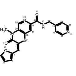 CN1C(=O)/C(=C\c2ccco2)Sc2cc(C(=O)NCc3ccncc3)ncc21